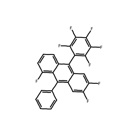 Fc1cc2c(-c3c(F)c(F)c(F)c(F)c3F)c3cccc(F)c3c(-c3ccccc3)c2cc1F